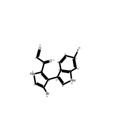 O=CC(=O)c1[nH]cc(Br)c1-c1c[nH]c2cc(F)ccc12